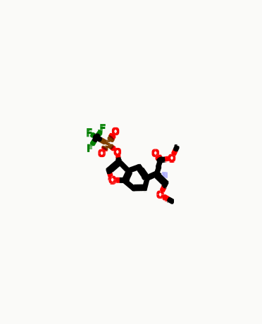 CO/C=C(/C(=O)OC)c1ccc2occ(OS(=O)(=O)C(F)(F)F)c2c1